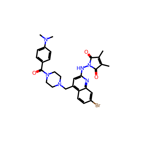 CC1=C(C)C(=O)N(Nc2cc(CN3CCN(C(=O)c4ccc(N(C)C)cc4)CC3)c3ccc(Br)cc3n2)C1=O